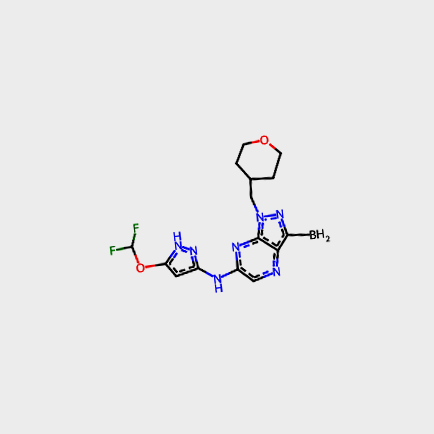 Bc1nn(CC2CCOCC2)c2nc(Nc3cc(OC(F)F)[nH]n3)cnc12